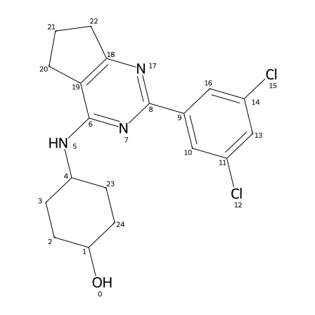 OC1CCC(Nc2nc(-c3cc(Cl)cc(Cl)c3)nc3c2CCC3)CC1